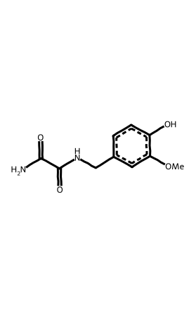 COc1cc(CNC(=O)C(N)=O)ccc1O